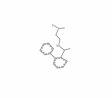 CCN(C)CCNC(C)c1ccccc1-c1ccccc1